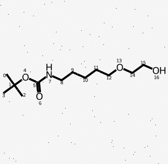 CC(C)(C)OC(=O)NCCCCCOCCO